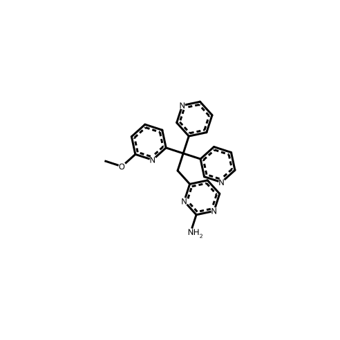 COc1cccc(C(Cc2ccnc(N)n2)(c2cccnc2)c2cccnc2)n1